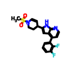 CS(=O)(=O)N1C=CC(c2cc3c(-c4cccc(F)c4F)ccnc3[nH]2)CC1